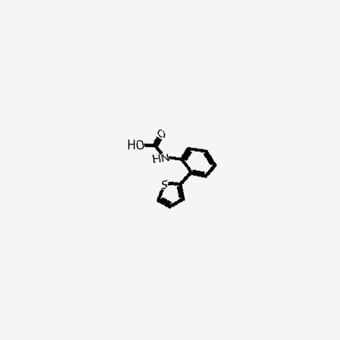 O=C(O)Nc1ccccc1-c1cccs1